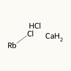 Cl.[CaH2].[Cl][Rb]